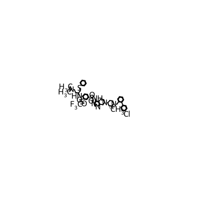 C[C@H]1CC(N2CCc3c(ncnc3NS(=O)(=O)c3ccc(NC(CCN(C)C)CSc4ccccc4)c(S(=O)(=O)C(F)(F)F)c3)C2)CCN1Cc1ccccc1-c1ccc(Cl)cc1